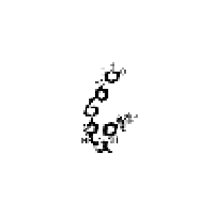 Cc1cnc(Nc2ccc(N3CCN(Cc4cccc(NC5CCC(=O)NC5=O)c4)CC3)nn2)nc1Nc1cccc(S(=O)(=O)NC(C)(C)C)c1